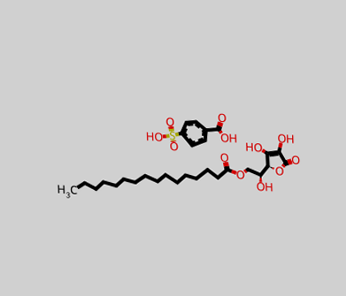 CCCCCCCCCCCCCCCC(=O)OC[C@H](O)[C@H]1OC(=O)C(O)=C1O.O=C(O)c1ccc(S(=O)(=O)O)cc1